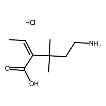 CC=C(C(=O)O)C(C)(C)CCN.Cl